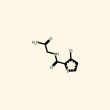 NC(=O)CNC(=O)c1sccc1Cl